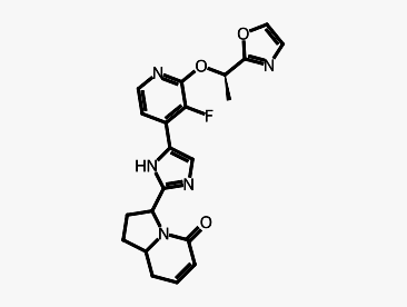 C[C@@H](Oc1nccc(-c2cnc(C3CCC4CC=CC(=O)N43)[nH]2)c1F)c1ncco1